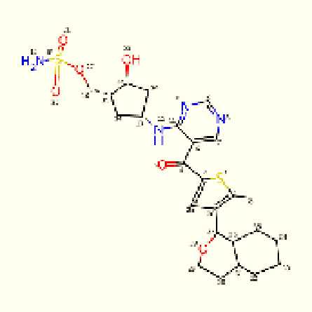 Cc1sc(C(=O)c2cncnc2N[C@@H]2C[C@H](COS(N)(=O)=O)[C@@H](O)C2)cc1C1OCCC2CCCCC21